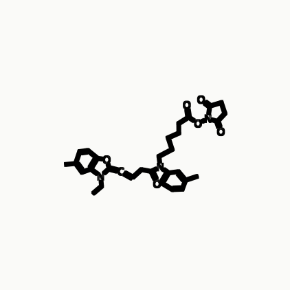 CCN1C(=C=CCc2[o+]c3ccc(C)cc3n2CCCCCC(=O)ON2C(=O)CCC2=O)Oc2ccc(C)cc21